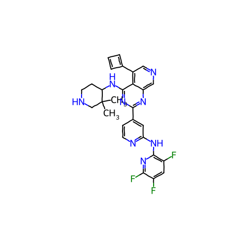 CC1(C)CNCCC1Nc1nc(-c2ccnc(Nc3nc(F)c(F)cc3F)c2)nc2cncc(C3=CC=C3)c12